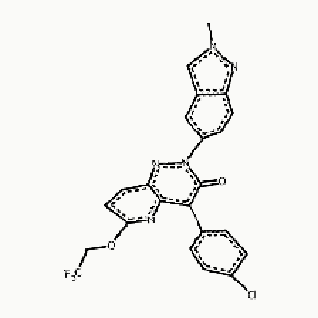 Cn1cc2cc(-n3nc4ccc(OCC(F)(F)F)nc4c(-c4ccc(Cl)cc4)c3=O)ccc2n1